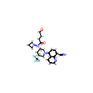 N#Cc1ccc(N2C[C@@H](N(C(=O)CCC=O)N3CCC3)C[C@@H](C(F)(F)F)C2)c2cccnc12